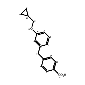 O=C(O)c1ccc(Cc2cccc(OCC3CC3)c2)cc1